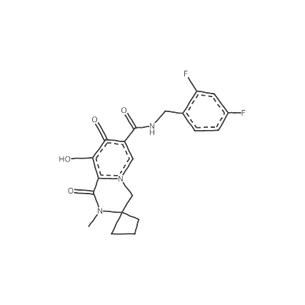 CN1C(=O)c2c(O)c(=O)c(C(=O)NCc3ccc(F)cc3F)cn2CC12CCC2